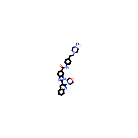 CN1CCN(CCc2ccc(NC(=O)c3ccc4nc(-c5cc6ccccc6nc5N5CCOCC5)[nH]c4c3)cc2)CC1